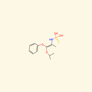 CC(NP(O)(O)=S)=C(Oc1ccccc1)OC(C)C